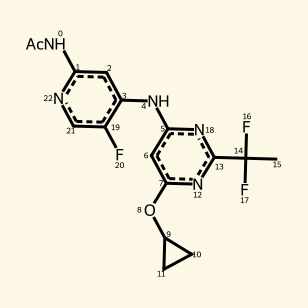 CC(=O)Nc1cc(Nc2cc(OC3CC3)nc(C(C)(F)F)n2)c(F)cn1